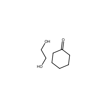 O=C1CCCCC1.OCCO